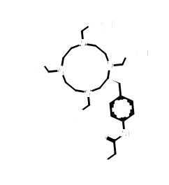 O=C(O)CN1CCN(CC(=O)O)CCN(CC(=O)O)[C@@H](Cc2ccc(NC(=O)CBr)cc2)CN(CC(=O)O)CC1